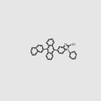 CCCc1nc2cc(-c3c4ccccc4c(-c4ccc5ccccc5c4)c4ccccc34)ccc2n1-c1ccccc1